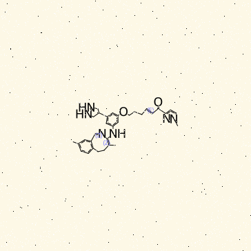 C/C1=C(Nc2cc(OCCC/C=C/C(=O)c3ccn(C)n3)cc(C3CNNC3)c2)/N=C\c2cc(C)ccc2CC1